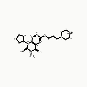 Cn1c(=O)c2nc(OCCCN3CCNCC3)nnc2n(C2CCCC2)c1=O